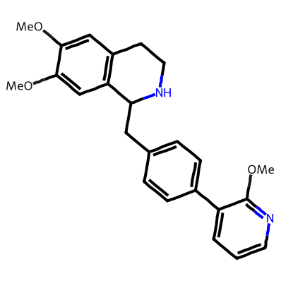 COc1cc2c(cc1OC)C(Cc1ccc(-c3cccnc3OC)cc1)NCC2